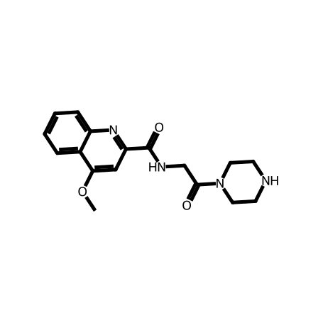 COc1cc(C(=O)NCC(=O)N2CCNCC2)nc2ccccc12